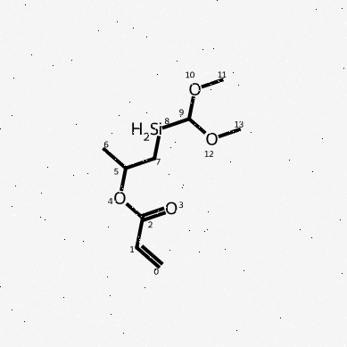 C=CC(=O)OC(C)C[SiH2]C(OC)OC